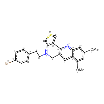 COc1cc(OC)c2cc(CNCCc3ccc(Br)cc3)c(-c3ccsc3)nc2c1